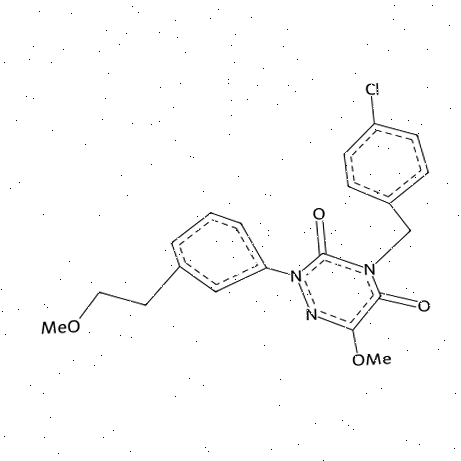 COCCc1cccc(-n2nc(OC)c(=O)n(Cc3ccc(Cl)cc3)c2=O)c1